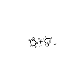 C[C@H]1CC[C@@H](C(C)(C)[C@@H]2CCCO2)O1